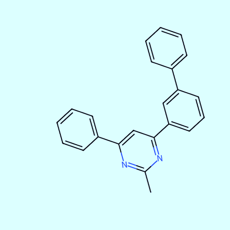 Cc1nc(-c2ccccc2)cc(-c2cccc(-c3ccccc3)c2)n1